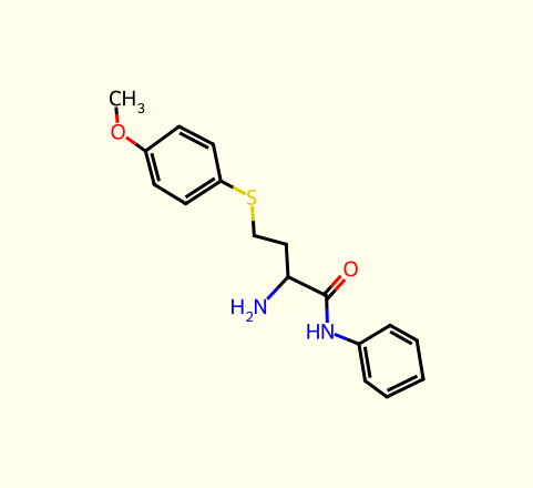 COc1ccc(SCCC(N)C(=O)Nc2ccccc2)cc1